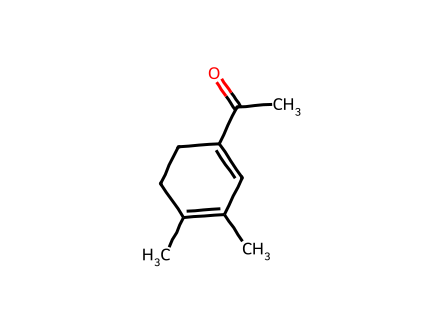 CC(=O)C1=CC(C)=C(C)CC1